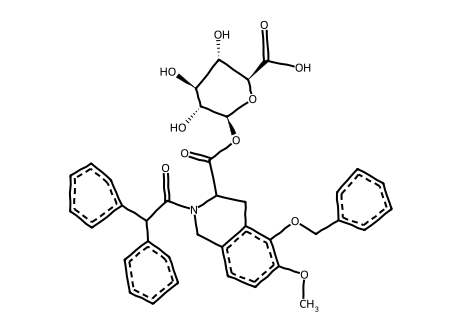 COc1ccc2c(c1OCc1ccccc1)CC(C(=O)O[C@@H]1O[C@H](C(=O)O)[C@@H](O)[C@H](O)[C@H]1O)N(C(=O)C(c1ccccc1)c1ccccc1)C2